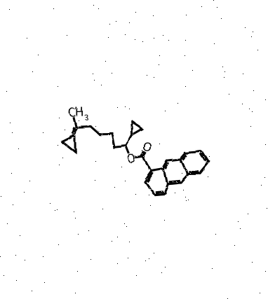 CC(CCCCC(OC(=O)c1cccc2cc3ccccc3cc12)C1CC1)=C1CC1